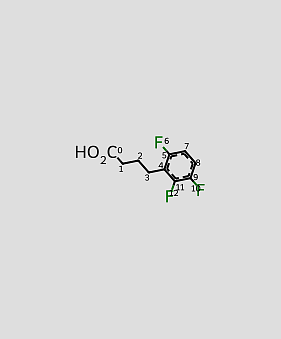 O=C(O)CCCc1c(F)ccc(F)c1F